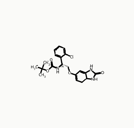 CC(C)(C)OC(=O)N[C@@H](COC1=CCC2NC(=O)NC2=C1)c1ccccc1Cl